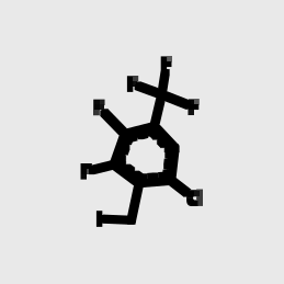 Fc1c(C(F)(F)F)cc(Cl)c(CI)c1F